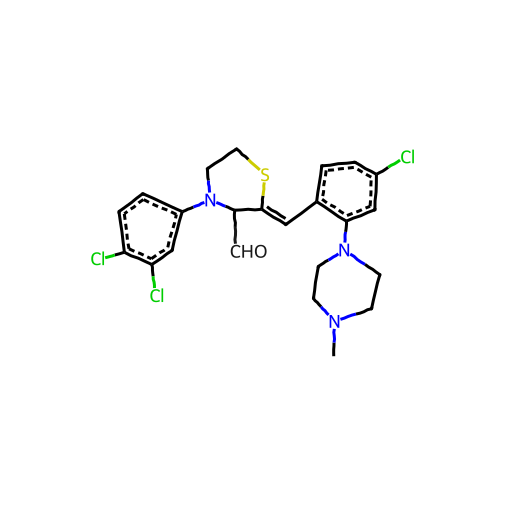 CN1CCN(c2cc(Cl)ccc2C=C2SCCN(c3ccc(Cl)c(Cl)c3)C2C=O)CC1